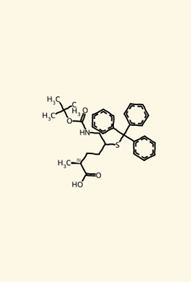 C[C@@H](CCC(CNC(=O)OC(C)(C)C)SC(c1ccccc1)(c1ccccc1)c1ccccc1)C(=O)O